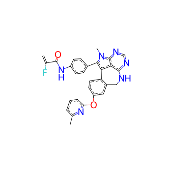 C=C(F)C(=O)Nc1ccc(-c2c3c4c(ncnc4n2C)NCc2cc(Oc4cccc(C)n4)ccc2-3)cc1